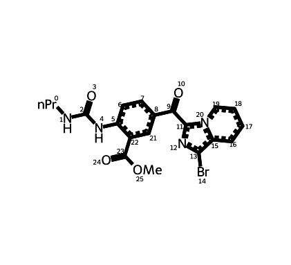 CCCNC(=O)Nc1ccc(C(=O)c2nc(Br)c3ccccn23)cc1C(=O)OC